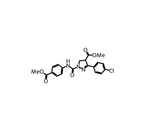 COC(=O)c1ccc(NC(=O)N2CC(C(=O)OC)C(c3ccc(Cl)cc3)=N2)cc1